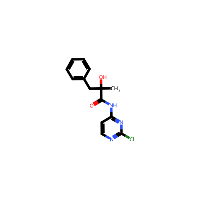 CC(O)(Cc1ccccc1)C(=O)Nc1ccnc(Cl)n1